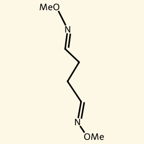 CON=CCCC=NOC